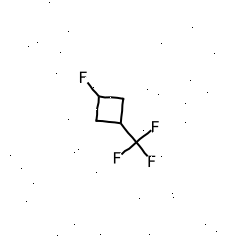 FC1CC(C(F)(F)F)C1